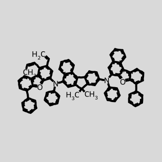 C=Cc1cc(N(c2ccccc2)c2cc3c(c4ccccc24)-c2ccc(N(c4ccccc4)c4cc5ccccc5c5c4oc4c(-c6ccccc6)cccc45)cc2C3(C)C)c2oc3c(-c4ccccc4)cccc3c2c1/C=C\C